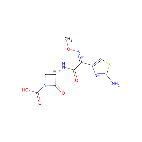 CO/N=C(\C(=O)N[C@H]1CN(C(=O)O)C1=O)c1csc(N)n1